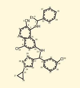 CCC(Nc1c(C#N)cnc2c(Cl)cc(NC(c3cccc(Cl)c3)c3cn(C4CC4)nn3)cc12)c1ccccc1